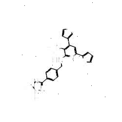 Nc1c(-c2ccoc2)cc(-c2cccs2)nc1NCc1ccc(C2=NNNN2)cc1